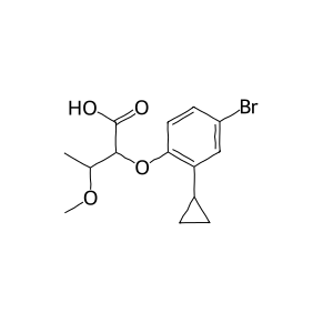 COC(C)C(Oc1ccc(Br)cc1C1CC1)C(=O)O